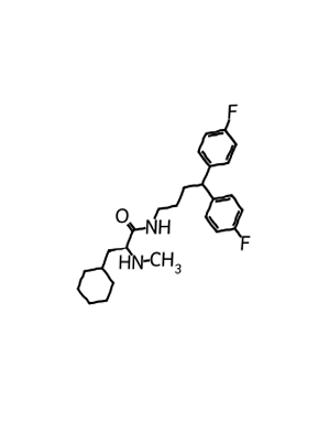 CN[C@@H](CC1CCCCC1)C(=O)NCCCC(c1ccc(F)cc1)c1ccc(F)cc1